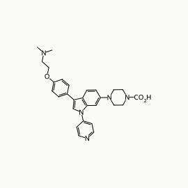 CN(C)CCOc1ccc(-c2cn(-c3ccncc3)c3cc(N4CCN(C(=O)O)CC4)ccc23)cc1